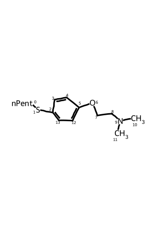 CCCCCSc1ccc(OCCN(C)C)cc1